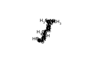 COc1cnc2c(-c3nc4cc(F)c(OC[C@@H](C)OC(=O)Nc5ccc(C(=O)N6CC[C@@H](O)C6)nc5)cc4s3)cc(C)cc2n1